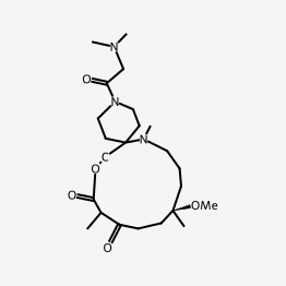 CO[C@]1(C)CCCN(C)C2(CCN(C(=O)CN(C)C)CC2)COC(=O)C(C)C(=O)CC1